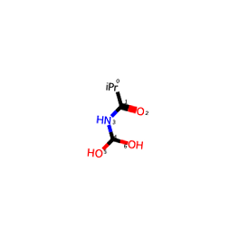 CC(C)C(=O)NC(O)O